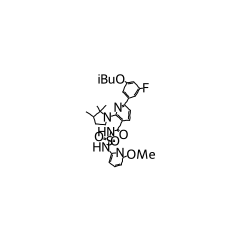 COc1cccc(NS(=O)(=O)NC(=O)c2ccc(-c3cc(F)cc(OCC(C)C)c3)nc2N2CCC(C)C2(C)C)n1